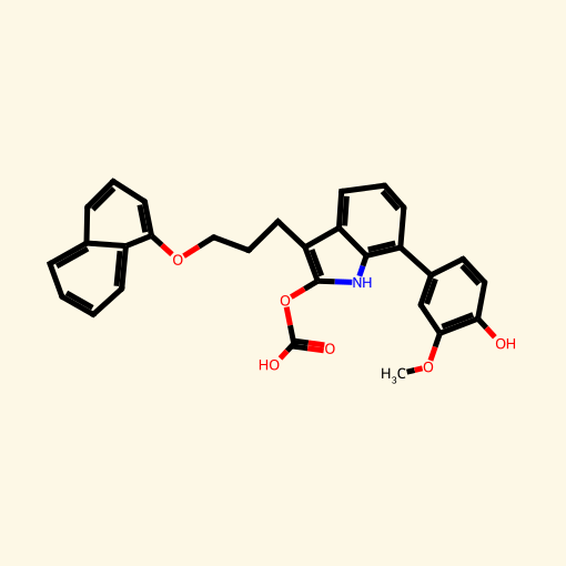 COc1cc(-c2cccc3c(CCCOc4cccc5ccccc45)c(OC(=O)O)[nH]c23)ccc1O